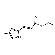 CCOC(=O)C=Cc1cc(C)c[nH]1